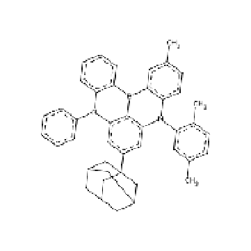 Cc1ccc2c(c1)B1c3ccccc3N(c3ccccc3)c3cc(C45CC6CC(CC(C6)C4)C5)cc(c31)N2c1cc(C)ccc1C